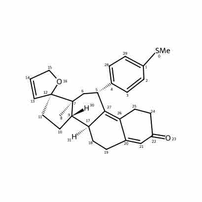 CSc1ccc([C@H]2C[C@@]3(C)[C@@H](CC[C@@]34C=CCO4)[C@@H]3CCC4=CC(=O)CCC4=C32)cc1